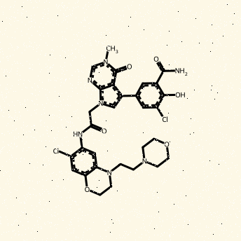 Cn1cnc2c(c(-c3cc(Cl)c(O)c(C(N)=O)c3)cn2CC(=O)Nc2cc3c(cc2Cl)OCCN3CCN2CCOCC2)c1=O